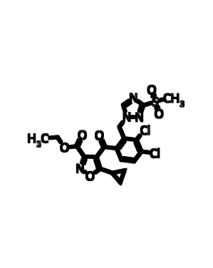 CCOC(=O)c1noc(C2CC2)c1C(=O)c1ccc(Cl)c(Cl)c1Cn1cnc(S(C)(=O)=O)n1